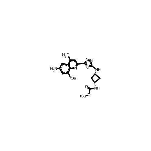 Cc1cc(-c2nnc(N[C@H]3C[C@@H](NC(=O)OC(C)(C)C)C3)o2)nc2c(C(C)(C)C)cc(N)cc12